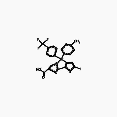 Cc1ccc([B-]2(c3ccc(C(F)(F)F)cc3)c3cc(I)sc3-c3sc(C(=O)O)c[n+]32)cc1